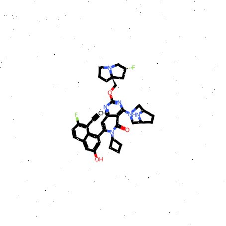 C#Cc1c(F)ccc2cc(O)cc(-c3cc4nc(OC[C@@]56CCCN5C[C@H](F)C6)nc(N5CC6CCC(C5)N6)c4c(=O)n3C3CCC3)c12